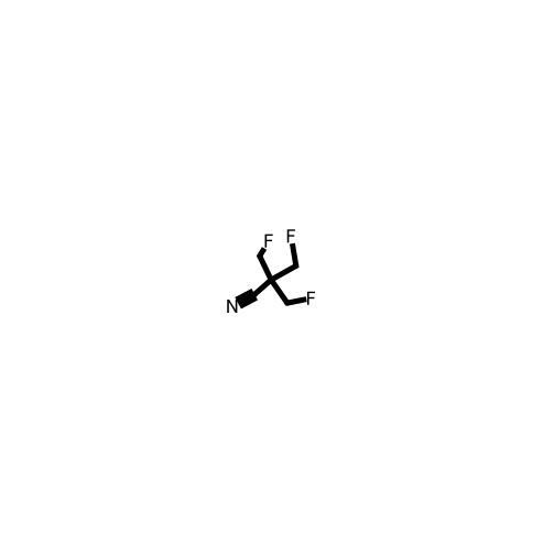 N#CC(CF)(CF)CF